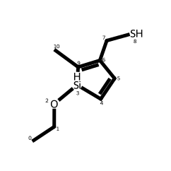 CCO[SiH]1C=CC(CS)=C1C